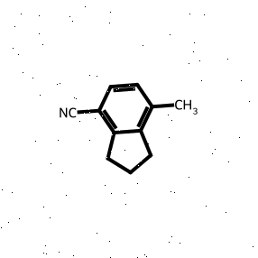 Cc1ccc(C#N)c2c1CCC2